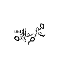 C[C@H](OCc1ccccc1)[C@H](OCC1CC1)[C@H](CCOC[C@H](NC(=O)OC(C)(C)C)C(=O)OCc1ccccc1)Cc1ccc(F)cc1